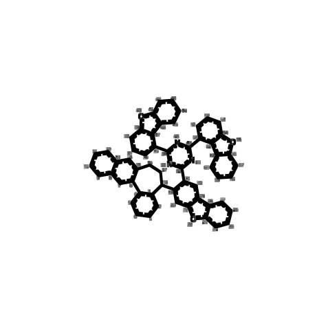 c1ccc2c(c1)-c1cc3ccccc3cc1CCC2c1cc2oc3ccccc3c2cc1-c1nc(-c2cccc3oc4ccccc4c23)nc(-c2cccc3oc4ccccc4c23)n1